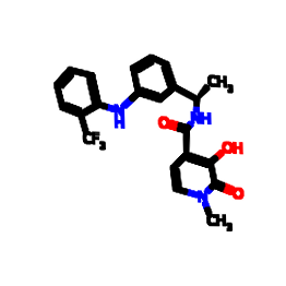 C[C@@H](NC(=O)c1ccn(C)c(=O)c1O)c1cccc(Nc2ccccc2C(F)(F)F)c1